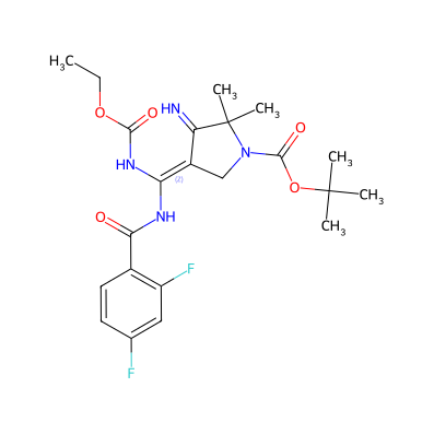 CCOC(=O)N/C(NC(=O)c1ccc(F)cc1F)=C1/CN(C(=O)OC(C)(C)C)C(C)(C)C1=N